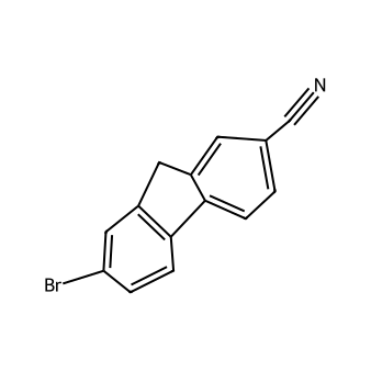 N#Cc1ccc2c(c1)Cc1cc(Br)ccc1-2